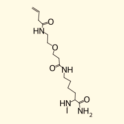 C=CCC(=O)NCCOCCC(=O)NCCCCC(NI)C(N)=O